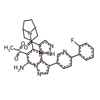 CS(=O)(=O)c1c(C2CC3CCC(C2)N3C(=O)c2cn[nH]n2)nc2c(-c3ccc(-c4ccccc4F)nc3)cnn2c1N